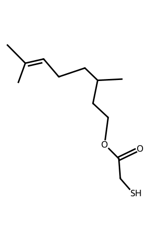 CC(C)=CCCC(C)CCOC(=O)CS